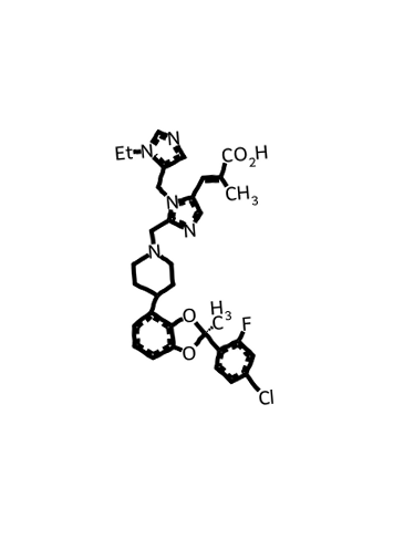 CCn1cncc1Cn1c(/C=C(\C)C(=O)O)cnc1CN1CCC(c2cccc3c2O[C@@](C)(c2ccc(Cl)cc2F)O3)CC1